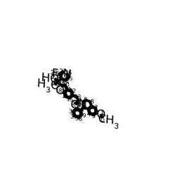 COc1ccc2c(c1)CCN(C(=O)Cc1ccc3oc(C(C)(O)c4ccncc4F)cc3c1)C2c1ccccc1